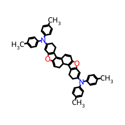 Cc1ccc(N(C2=Cc3oc4c(c3CC2)C2CC=c3oc5c(c3=C2C=C4)CCC(N(c2ccc(C)cc2)c2ccc(C)cc2)=C5)c2ccc(C)cc2)cc1